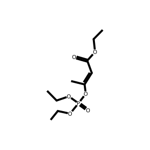 CCOC(=O)/C=C(\C)OP(=O)(OCC)OCC